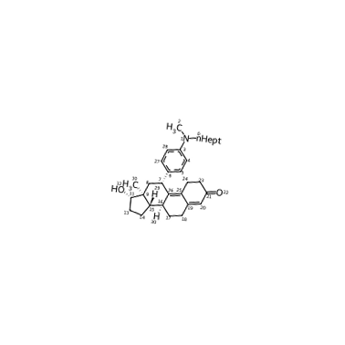 CCCCCCCN(C)c1ccc([C@H]2C[C@]3(C)[C@@H](O)CC[C@H]3[C@@H]3CCC4=CC(=O)CCC4=C32)cc1